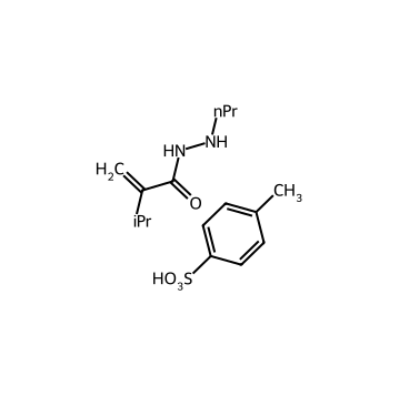 C=C(C(=O)NNCCC)C(C)C.Cc1ccc(S(=O)(=O)O)cc1